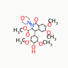 COC(=O)c1c(-c2cc(OC)c(O)c(OC)c2)c2cc(OC)c(OC)cc2c(=O)n1N1CCOCC1